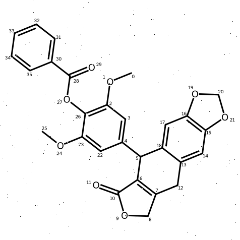 COc1cc(C2C3=C(COC3=O)Cc3cc4c(cc32)OCO4)cc(OC)c1OC(=O)c1ccccc1